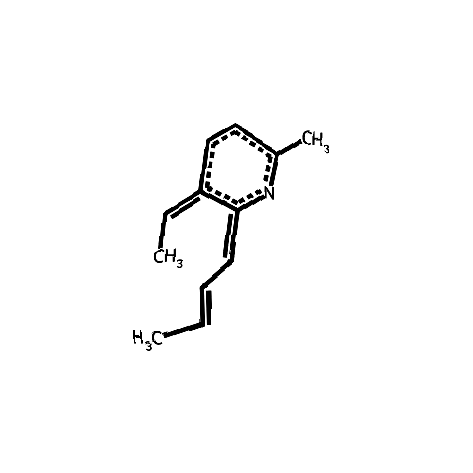 C/C=c1/ccc(C)n/c1=C/C=C/C